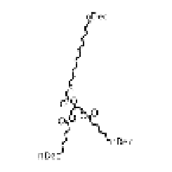 CCCCCCCCCCCCCCCCCCCCCCSCC(=O)OC(COC(=O)CCCCCCCCCCCCCCC)COC(=O)CCCCCCCCCCCCCCC